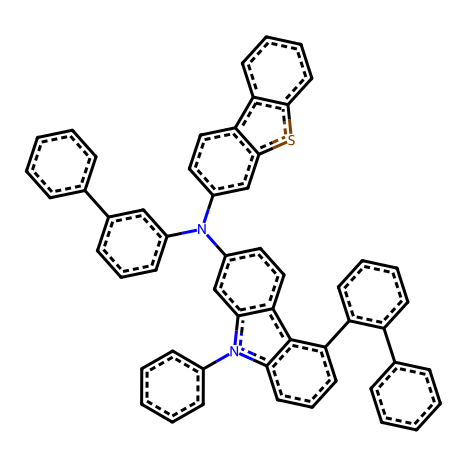 c1ccc(-c2cccc(N(c3ccc4c(c3)sc3ccccc34)c3ccc4c5c(-c6ccccc6-c6ccccc6)cccc5n(-c5ccccc5)c4c3)c2)cc1